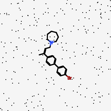 CC(=CCN1CCCCCC1)c1ccc(-c2ccc(Br)cc2)cc1